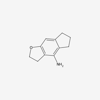 Nc1c2c(cc3c1CCO3)CCC2